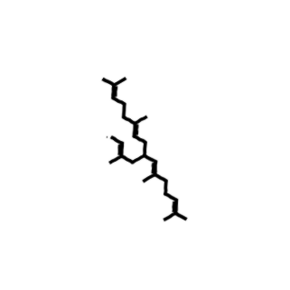 [CH2]C=C(C)CC(/C=C(\C)CCC=C(C)C)C/C=C(\C)CCC=C(C)C